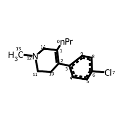 CCCC1=C(c2ccc(Cl)cc2)CCN(C)C1